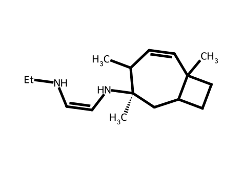 CCN/C=C\N[C@]1(C)CC2CCC2(C)C=CC1C